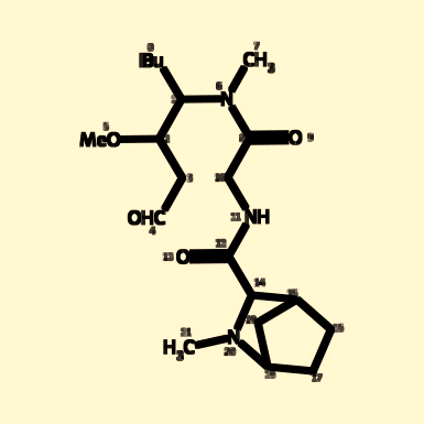 CCC(C)C(C(CC=O)OC)N(C)C(=O)CNC(=O)C1C2CCC(C2)N1C